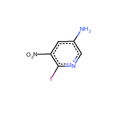 Nc1cnc(I)c([N+](=O)[O-])c1